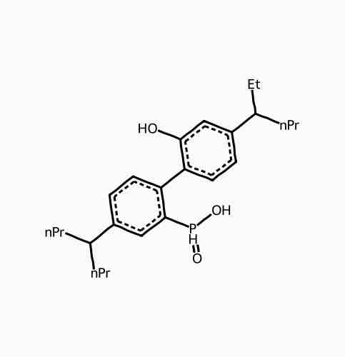 CCCC(CC)c1ccc(-c2ccc(C(CCC)CCC)cc2[PH](=O)O)c(O)c1